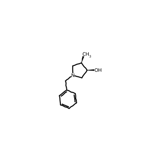 C[C@@H]1CN(Cc2ccccc2)C[C@@H]1O